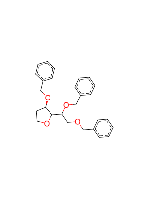 c1ccc(COCC(OCc2ccccc2)C2OCC[C@H]2OCc2ccccc2)cc1